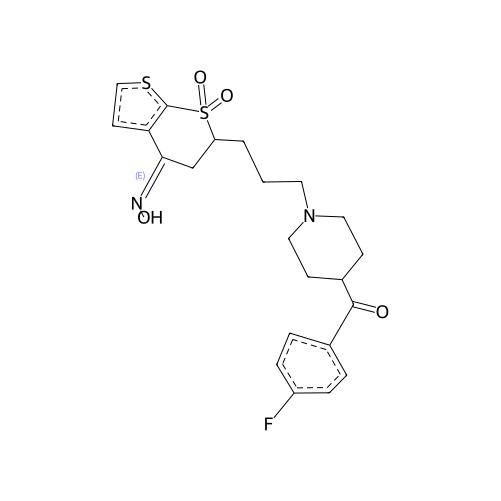 O=C(c1ccc(F)cc1)C1CCN(CCCC2C/C(=N\O)c3ccsc3S2(=O)=O)CC1